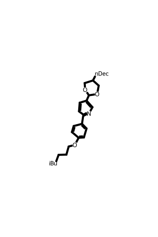 CCCCCCCCCCC1COC(c2ccc(-c3ccc(OCCCC(C)CC)cc3)nc2)OC1